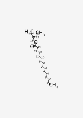 CCCCCCCCCCCCCCCC(=O)OCC(CC)CC